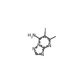 Cc1nc2ncnn2c(N)c1I